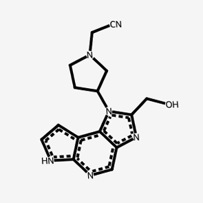 N#CCN1CCC(n2c(CO)nc3cnc4[nH]ccc4c32)C1